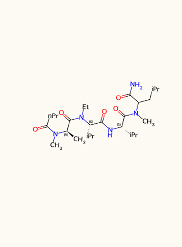 CCCC(=O)N(C)[C@H](C)C(=O)N(CC)[C@H](C(=O)N[C@H](C(=O)N(C)C(CC(C)C)C(N)=O)C(C)C)C(C)C